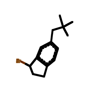 CC(C)(C)Cc1ccc2c(c1)C(Br)CC2